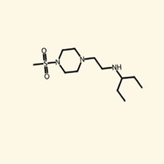 CCC(CC)NCCN1CCN(S(C)(=O)=O)CC1